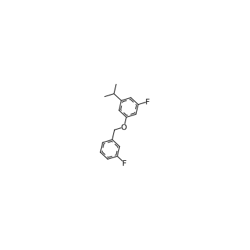 CC(C)c1cc(F)cc(OCc2cccc(F)c2)c1